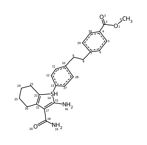 COC(=O)c1ccc(CCc2ccc([SH]3C(N)=C(C(N)=O)C4=C3CCCC4)cc2)cc1